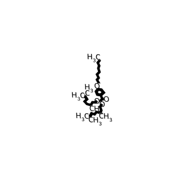 CCCCCCCCCCOc1ccc(C(=O)C(OCCC(C)CCC=C(C)C)OCCC(C)CCC=C(C)C)cc1